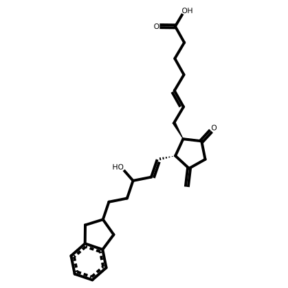 C=C1CC(=O)[C@H](CC=CCCCC(=O)O)[C@H]1C=CC(O)CCC1Cc2ccccc2C1